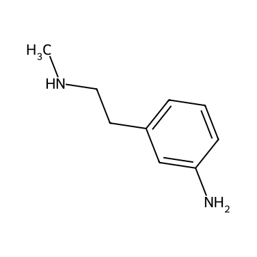 CNCCc1cccc(N)c1